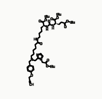 C#CCOc1ccc(CN(CCCCCC(=O)NCCCC[C@H](NC(=O)N[C@@H](CCC(=O)OC(C)(C)C)C(=O)OC(C)(C)C)C(=O)OC(C)(C)C)Cc2nccn2CC(=O)OC(C)(C)C)cc1